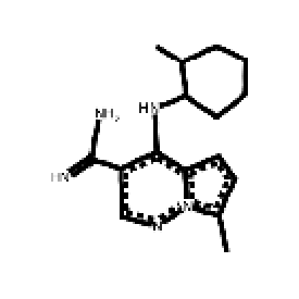 Cc1ccc2c(NC3CCCCC3C)c(C(=N)N)cnn12